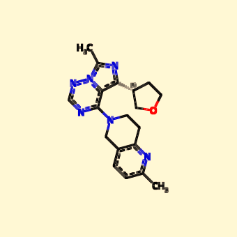 Cc1ccc2c(n1)CCN(c1ncnn3c(C)nc([C@@H]4CCOC4)c13)C2